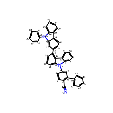 N#Cc1ccc(-n2c3ccccc3c3c(-c4ccc5c6ccccc6n(-c6ccccc6)c5c4)cccc32)cc1-c1ccccc1